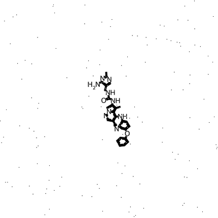 Cc1ncc(CNC(=O)Nc2cn3ncc(C#N)c(Nc4ccc(Oc5ccccc5)cc4)c3c2C)c(N)n1